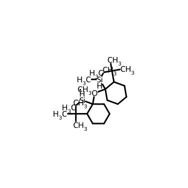 C[SiH](C)C1(OC2([SiH](C)C)CCCCC2C(C)(C)C)CCCCC1C(C)(C)C